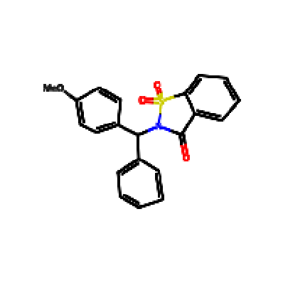 COc1ccc(C(c2ccccc2)N2C(=O)c3ccccc3S2(=O)=O)cc1